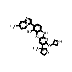 CCc1c(-c2cnc3cc(C)ccn23)ccc(Nc2ccc([C@@]3(C)CCOC3)c(OC3CNC3)n2)c1C(C)=O